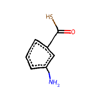 Nc1cccc(C(=O)S)c1